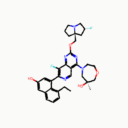 CCc1cccc2cc(O)cc(-c3ncc4c(N5CCOC[C@@](C)(O)C5)nc(OC[C@@]56CCCN5C[C@H](F)C6)nc4c3F)c12